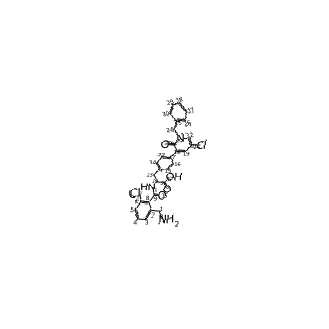 NCc1cccc(Cl)c1C(=O)NC(Cc1ccc(-c2cc(Cl)cn(Cc3ccccc3)c2=O)cc1)C(=O)O